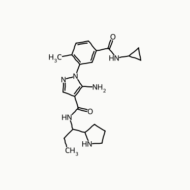 CCC(NC(=O)c1cnn(-c2cc(C(=O)NC3CC3)ccc2C)c1N)C1CCCN1